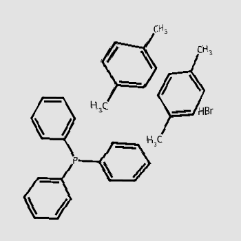 Br.Cc1ccc(C)cc1.Cc1ccc(C)cc1.c1ccc(P(c2ccccc2)c2ccccc2)cc1